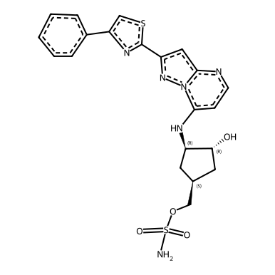 NS(=O)(=O)OC[C@@H]1C[C@@H](O)[C@H](Nc2ccnc3cc(-c4nc(-c5ccccc5)cs4)nn23)C1